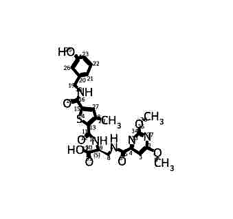 COc1cc(C(=O)NC[C@H](NC(=O)c2sc(C(=O)NCc3cccc(O)c3)cc2C)C(=O)O)nc(OC)n1